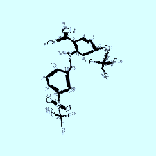 O=C(O)c1ccc(OC(F)(F)F)cc1SCc1cccc(S(=O)(=O)C(F)(F)F)c1